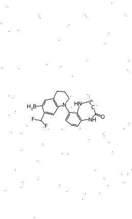 Bc1cc2c(cc1C(F)F)N(c1cccc3c1N[C@H](C)CC(=O)N3)CCC2